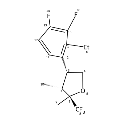 CCc1c([C@@H]2CO[C@@](C)(C(F)(F)F)[C@@H]2C)ccc(F)c1F